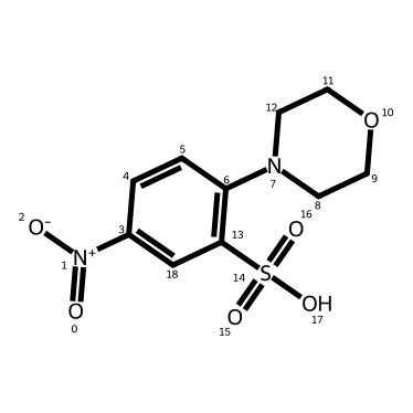 O=[N+]([O-])c1ccc(N2CCOCC2)c(S(=O)(=O)O)c1